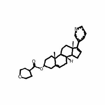 C[C@]12CC[C@H](OC(=O)C3CCOCC3)CC1=CC[C@@H]1C2CC[C@]2(C)C(c3cccnc3)=CCC12